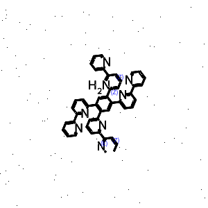 C=C(/C=C\C=C(/N)c1cc(-c2cccc(-c3ccccn3)n2)c(-c2cccc(C(/C=C\C)=N/C)n2)cc1-c1cccc(-c2ccccn2)n1)c1ccccn1